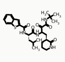 CC(C)C[C@H](NC(=O)c1cc2ccccc2s1)C(=O)NC(C[C@@H]1CCCNC1=O)C(=O)C(=O)NC(C)(C)C